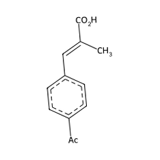 CC(=O)c1ccc(C=C(C)C(=O)O)cc1